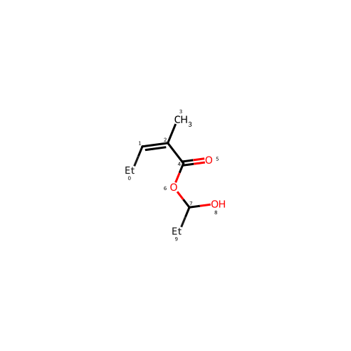 CCC=C(C)C(=O)OC(O)CC